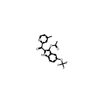 CC(=O)Oc1c(C(=O)c2cc(C)ccn2)[nH]c2ccc(OC(F)(F)F)cc12